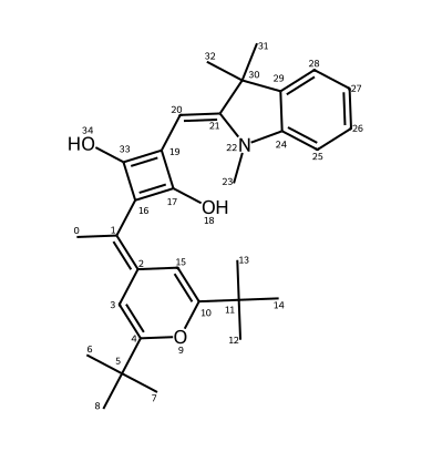 CC(=C1C=C(C(C)(C)C)OC(C(C)(C)C)=C1)C1=C(O)C(C=C2N(C)c3ccccc3C2(C)C)=C1O